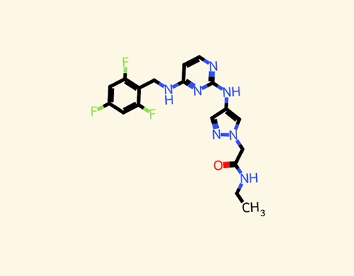 CCNC(=O)Cn1cc(Nc2nccc(NCc3c(F)cc(F)cc3F)n2)cn1